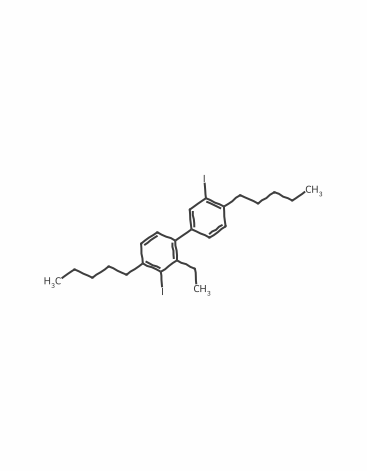 CCCCCc1ccc(-c2ccc(CCCCC)c(I)c2CC)cc1I